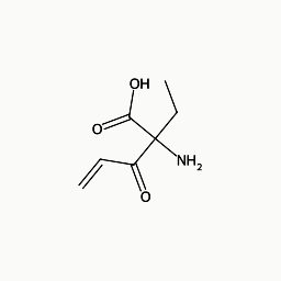 C=CC(=O)C(N)(CC)C(=O)O